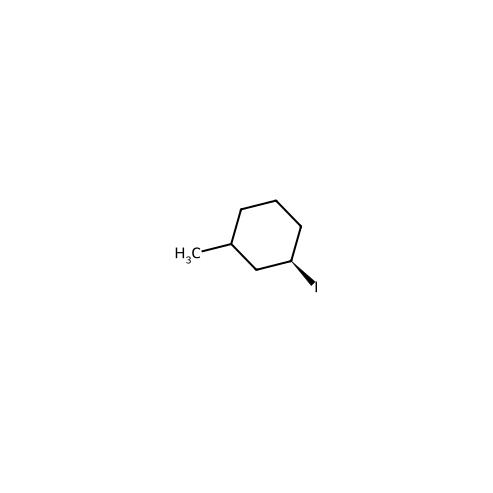 CC1CCC[C@@H](I)C1